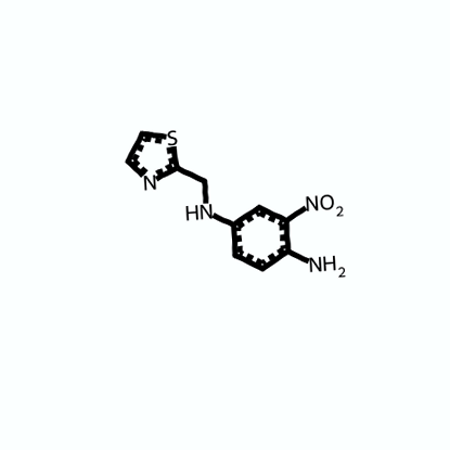 Nc1ccc(NCc2nccs2)cc1[N+](=O)[O-]